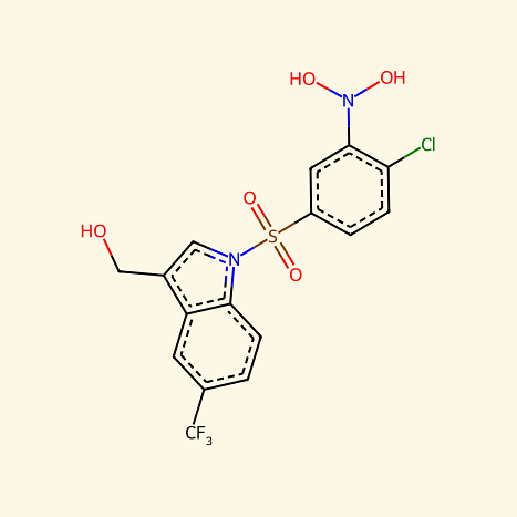 O=S(=O)(c1ccc(Cl)c(N(O)O)c1)n1cc(CO)c2cc(C(F)(F)F)ccc21